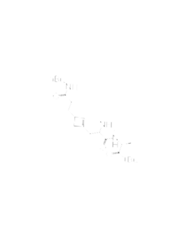 CCCCNC(=O)CCC1C=C([C@@H](C)C(N)C(=O)N[C@@H](C)C(=O)C(C)(C)C)C1